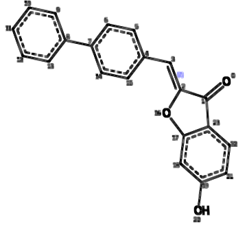 O=C1/C(=C/c2ccc(-c3ccccc3)cc2)Oc2cc(O)ccc21